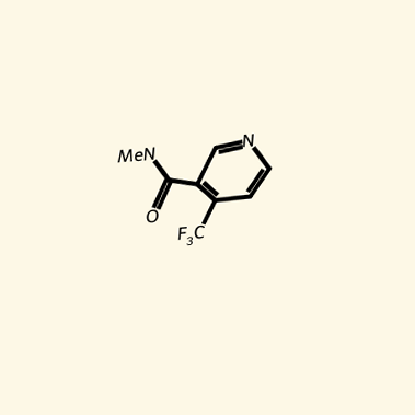 [CH2]NC(=O)c1cnccc1C(F)(F)F